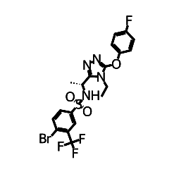 CCn1c(Oc2ccc(F)cc2)nnc1[C@@H](C)NS(=O)(=O)c1ccc(Br)c(C(F)(F)F)c1